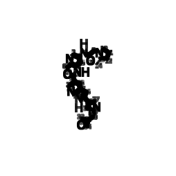 Cc1ncc(NC(=O)CN2CCC[C@@H]2C)cc1NC(=O)c1cnc2[nH]c(-c3cnn(CC4COC4)c3)cc2c1